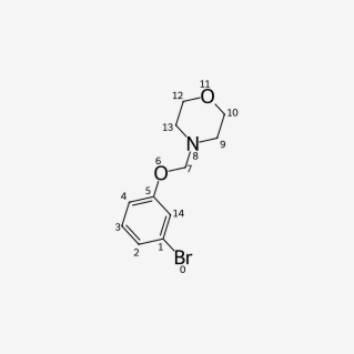 Brc1cccc(OCN2CCOCC2)c1